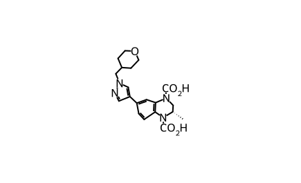 C[C@H]1CN(C(=O)O)c2cc(-c3cnn(CC4CCOCC4)c3)ccc2N1C(=O)O